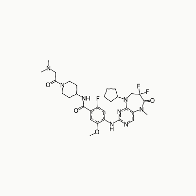 COc1cc(C(=O)NC2CCN(C(=O)CN(C)C)CC2)c(F)cc1Nc1ncc2c(n1)N(C1CCCC1)CC(F)(F)C(=O)N2C